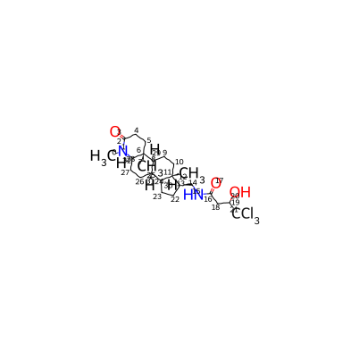 CN1C(=O)CC[C@]2(C)[C@H]3CC[C@]4(C)[C@@H](CNC(=O)CC(O)C(Cl)(Cl)Cl)CC[C@H]4[C@@H]3CC[C@@H]12